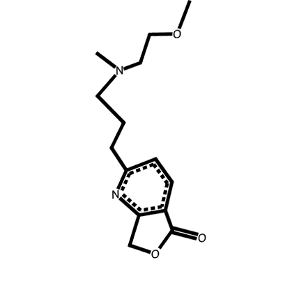 COCCN(C)CCCc1ccc2c(n1)COC2=O